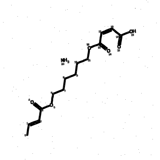 CC=CC(=O)OCCCCCCOC(=O)/C=C\C(=O)O.N